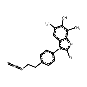 CCc1nc2c(C)c(C#N)c(C)cc2n1-c1ccc(CCN=[N+]=[N-])cc1